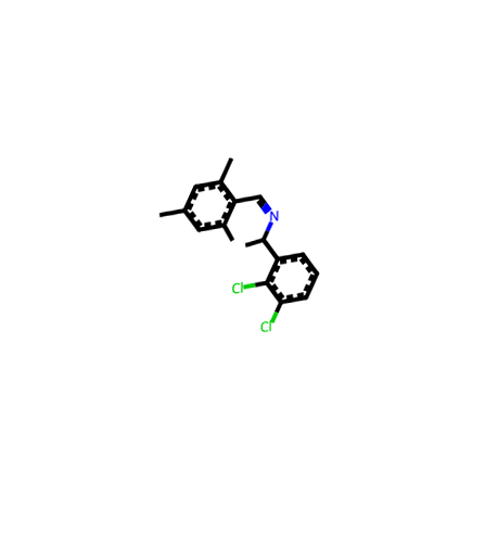 Cc1cc(C)c(/C=N\C(C)c2cccc(Cl)c2Cl)c(C)c1